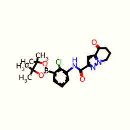 CC1(C)OB(c2cccc(NC(=O)c3cc4n(n3)CCCC4=O)c2Cl)OC1(C)C